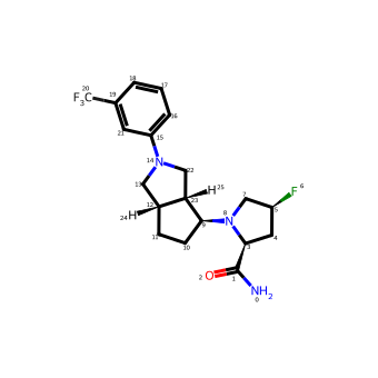 NC(=O)[C@@H]1C[C@H](F)CN1[C@H]1CC[C@@H]2CN(c3cccc(C(F)(F)F)c3)C[C@@H]21